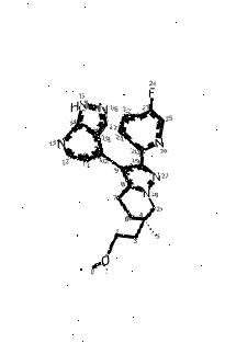 COCC[C@@]1(C)CCc2c(-c3ccnc4[nH]ncc34)c(-c3ccc(F)cn3)nn2C1